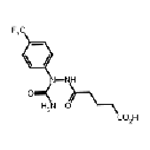 NC(=O)N(NC(=O)CCCC(=O)O)c1ccc(C(F)(F)F)cc1